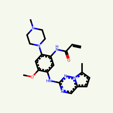 C=CC(=O)Nc1cc(Nc2ncc3ccc(C)n3n2)c(OC)cc1N1CCN(C)CC1